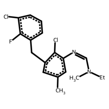 CCN(C)/C=N\c1cc(C)cc(Cc2cccc(Cl)c2F)c1Cl